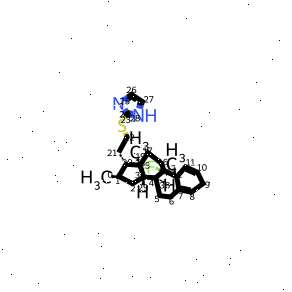 C[C@@H]1C[C@H]2[C@@H]3CCC4=CCC=C[C@]4(C)[C@@]3(F)CC[C@]2(C)[C@H]1CCSc1ncc[nH]1